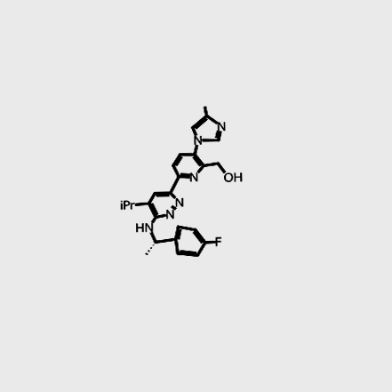 Cc1cn(-c2ccc(-c3cc(C(C)C)c(N[C@@H](C)c4ccc(F)cc4)nn3)nc2CO)cn1